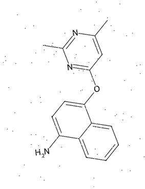 Cc1cc(Oc2ccc(N)c3ccccc23)nc(C)n1